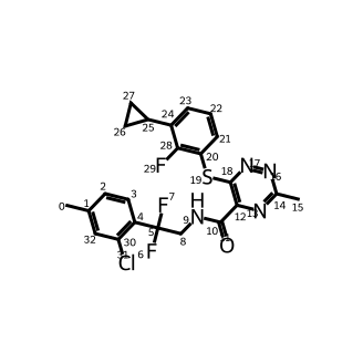 Cc1ccc(C(F)(F)CNC(=O)c2nc(C)nnc2Sc2cccc(C3CC3)c2F)c(Cl)c1